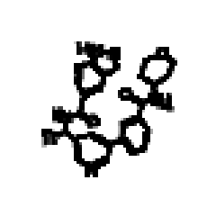 CC[C@@H](NC(=O)c1ccc2[nH]ncc2c1)c1cncc(-c2cccc(C(=O)NC3CCOCC3)c2)c1